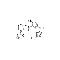 C=CC(=O)N1CCCC(CNc2nc(Nc3cnn(C)c3)ncc2Cl)C1